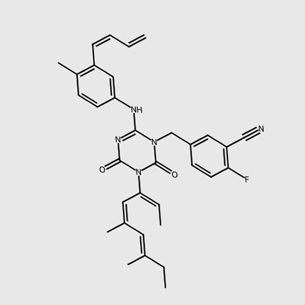 C=C/C=C\c1cc(Nc2nc(=O)n(C(/C=C(C)\C=C(/C)CC)=C/C)c(=O)n2Cc2ccc(F)c(C#N)c2)ccc1C